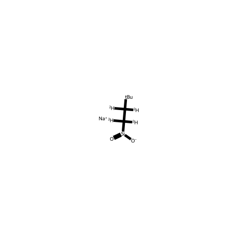 [2H]C([2H])([Si](=O)[O-])C([2H])([2H])C(C)(C)C.[Na+]